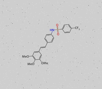 COc1cc(C=Cc2ccc(NS(=O)(=O)c3ccc(C(F)(F)F)cc3)cc2)cc(OC)c1OC